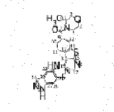 C[C@H]1COCCN1C(=O)[C@H]1CCc2c(sc3ncnc(Nc4cc5cn[nH]c5cc4F)c23)C1